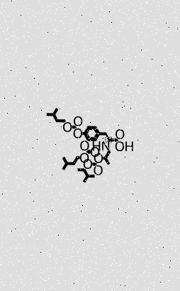 CC(C)CCOC(=O)Oc1ccc(C[C@H](NCC(C)OC(=O)OC(C)C(C)C)C(=O)O)cc1OC(=O)OCCC(C)C